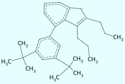 CCCC1=C(CCC)c2c(cccc2-c2cc(C(C)(C)C)cc(C(C)(C)C)c2)[CH]1